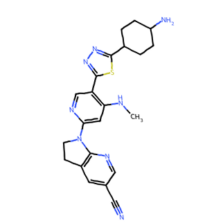 CNc1cc(N2CCc3cc(C#N)cnc32)ncc1-c1nnc(C2CCC(N)CC2)s1